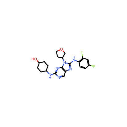 OC1CCC(Nc2ncc3nc(Nc4ccc(F)cc4F)n(C4CCOC4)c3n2)CC1